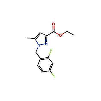 CCOC(=O)c1cc(C)n(Cc2ccc(F)cc2F)n1